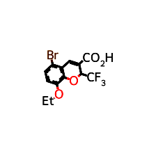 CCOc1ccc(Br)c2c1OC(C(F)(F)F)C(C(=O)O)=C2